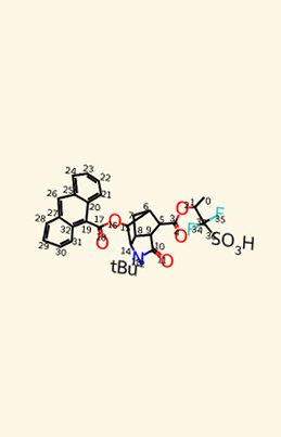 CC(OC(=O)C1C2CC3C1C(=O)N(C(C)(C)C)C3C2OC(=O)c1c2ccccc2cc2ccccc12)C(F)(F)S(=O)(=O)O